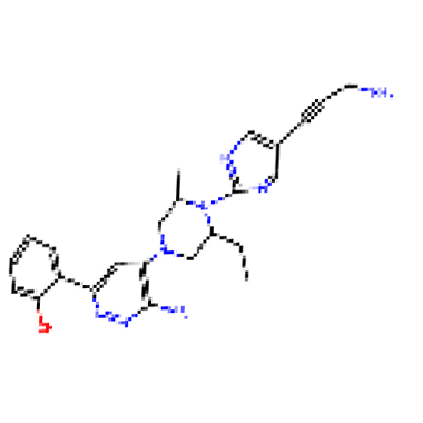 CCC1CN(c2cc(-c3ccccc3O)nnc2N)CC(C)N1c1ncc(C#CCN)cn1